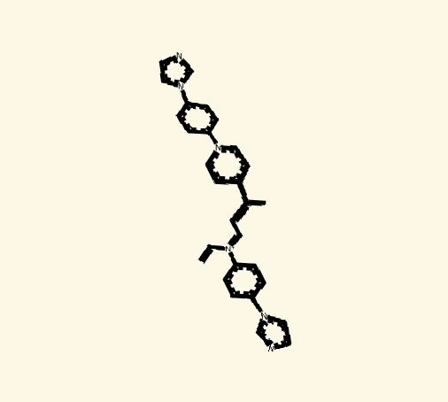 C=C/[N+](=C\C=C(/C)c1cc[n+](-c2ccc(-n3ccnc3)cc2)cc1)c1ccc(-n2ccnc2)cc1